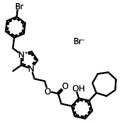 Cc1n(CCOC(=O)Cc2cccc(C3CCCCCC3)c2O)cc[n+]1Cc1ccc(Br)cc1.[Br-]